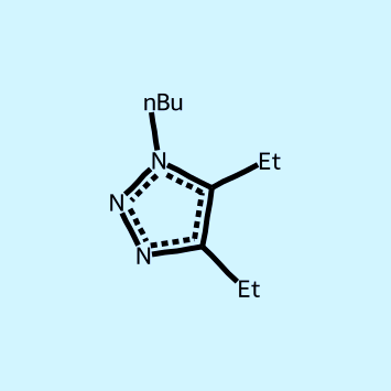 CCCCn1nnc(CC)c1CC